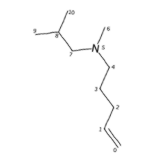 C=CCCCN(C)CC(C)C